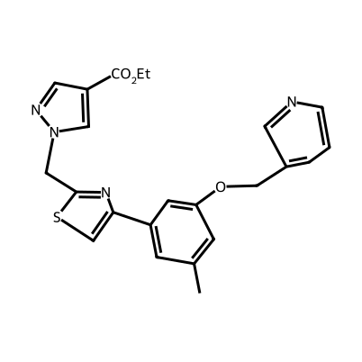 CCOC(=O)c1cnn(Cc2nc(-c3cc(C)cc(OCc4cccnc4)c3)cs2)c1